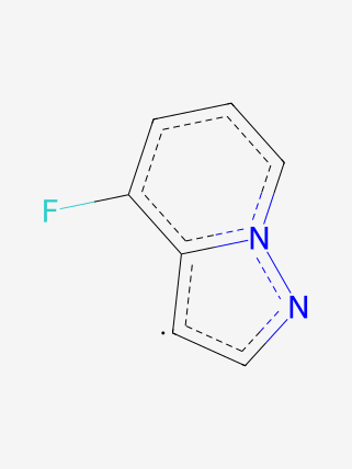 Fc1cccn2nc[c]c12